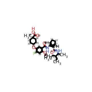 CCC(CC)C(C)NC(=O)[C@H]1[C@@H]2CC[C@@H](C2)[C@H]1NC(=O)c1cc(O[C@H]2CC[C@@](C)(C(=O)O)CC2)c(F)cc1OC